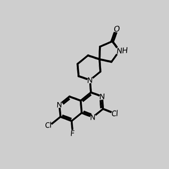 O=C1CC2(CCCN(c3nc(Cl)nc4c(F)c(Cl)ncc34)C2)CN1